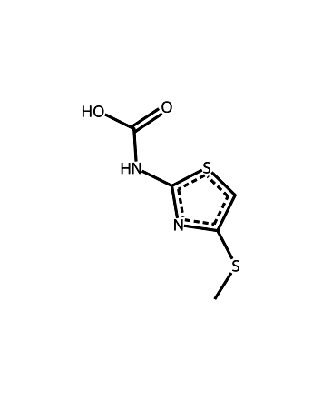 CSc1csc(NC(=O)O)n1